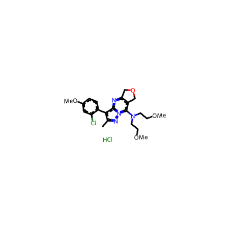 COCCN(CCOC)c1c2c(nc3c(-c4ccc(OC)cc4Cl)c(C)nn13)COC2.Cl